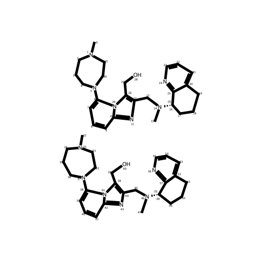 CN1CCCN(c2cccc3nc(CN(C)[C@H]4CCCc5cccnc54)c(CO)n23)CC1.CN1CCCN(c2cccc3nc(CN(C)[C@H]4CCCc5cccnc54)c(CO)n23)CC1